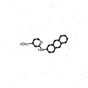 CCCCCCCCCCc1ccnc(Nc2ccc3cc4ccccc4cc3c2)c1